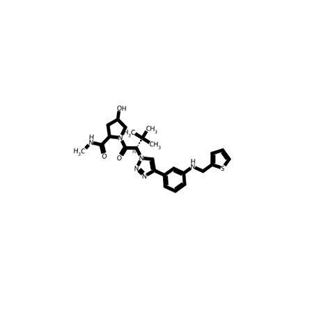 CNC(=O)C1CC(O)CN1C(=O)[C@@H](n1cc(-c2cccc(NCc3cccs3)c2)nn1)C(C)(C)C